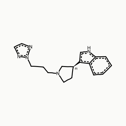 c1ccc2c([C@H]3CCN(CCCn4nccn4)C3)c[nH]c2c1